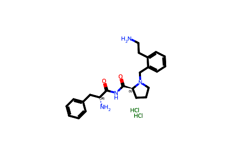 Cl.Cl.NCCc1ccccc1CN1CCC[C@H]1C(=O)NC(=O)[C@H](N)Cc1ccccc1